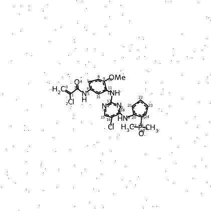 C=C(Cl)C(=O)Nc1ccc(OC)c(Nc2ncc(Cl)c(Nc3ccccc3P(C)(C)=O)n2)c1